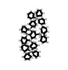 c1ccc([Si](c2ccccc2)(c2ccccc2)c2ccc(N3c4ccccc4B4c5ccccc5N(c5cccc([Si](c6ccccc6)(c6ccccc6)c6ccccc6)c5)c5cc(-n6c7ccccc7c7ccccc76)cc3c54)cc2)cc1